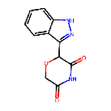 O=C1COC(c2n[nH]c3ccccc23)C(=O)N1